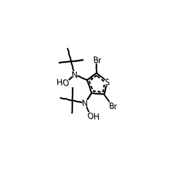 CC(C)(C)N(O)c1c(Br)sc(Br)c1N(O)C(C)(C)C